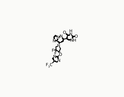 O=c1[nH]cc(-c2cc(N3C[C@@H](Oc4ncc(C(F)(F)F)cn4)C(F)(F)C3)c3nccn3n2)c(=O)[nH]1